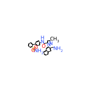 Cc1cc(C(=O)Nc2ccc(-c3ccccc3S(N)(=O)=O)cc2)n(-c2cc3ccccc3cc2CN)n1